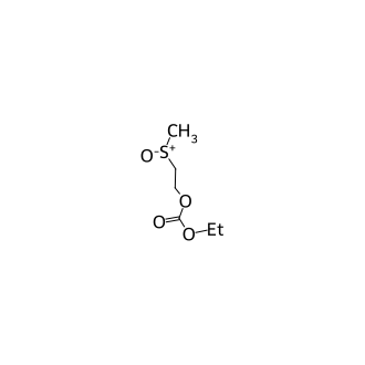 CCOC(=O)OCC[S+](C)[O-]